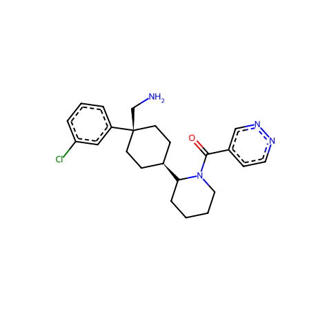 NC[C@]1(c2cccc(Cl)c2)CC[C@H](C2CCCCN2C(=O)c2ccnnc2)CC1